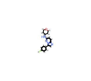 Fc1ccc(-c2cnc3ccc(NC4CCOCC4)nn23)cc1